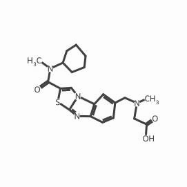 CN(CC(=O)O)Cc1ccc2nc3sc(C(=O)N(C)C4CCCCC4)cn3c2c1